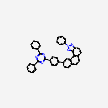 c1ccc(-c2nc(-c3ccccc3)nc(-c3ccc(-c4ccc5ccc6ccc7nn(-c8ccccc8)nc7c6c5c4)cc3)n2)cc1